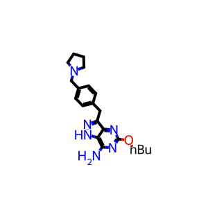 CCCCOc1nc(N)c2[nH]nc(Cc3ccc(CN4CCCC4)cc3)c2n1